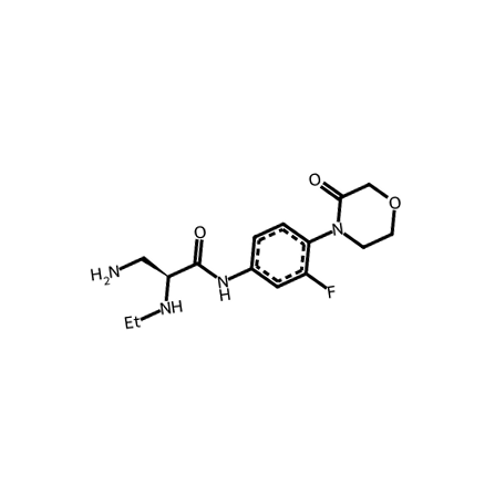 CCN[C@@H](CN)C(=O)Nc1ccc(N2CCOCC2=O)c(F)c1